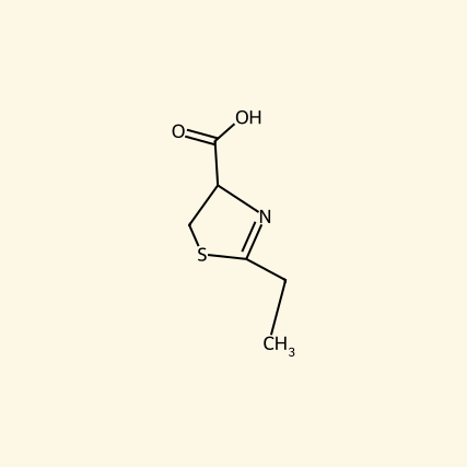 CCC1=NC(C(=O)O)CS1